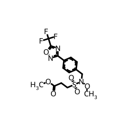 COC(=O)CCS(=O)(=O)N(Cc1ccc(-c2noc(C(F)(F)F)n2)cc1)OC